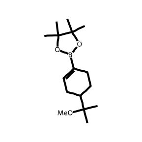 COC(C)(C)C1CC=C(B2OC(C)(C)C(C)(C)O2)CC1